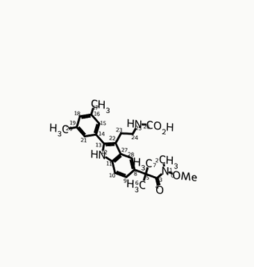 CON(C)C(=O)C(C)(C)c1ccc2[nH]c(-c3cc(C)cc(C)c3)c(CCNC(=O)O)c2c1